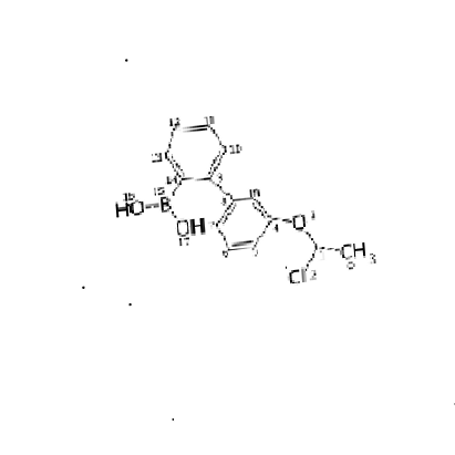 CC(Cl)Oc1cccc(-c2ccccc2B(O)O)c1